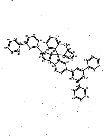 c1ccc(-c2cc(-c3ccc4c(c3)C3(c5ccccc5Oc5ccccc53)c3cc(-c5cccc(-c6ccccn6)c5)ccc3-4)nc(-c3ccccc3)n2)cc1